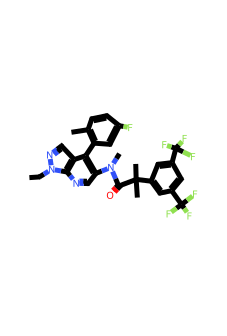 CCn1ncc2c(-c3cc(F)ccc3C)c(N(C)C(=O)C(C)(C)c3cc(C(F)(F)F)cc(C(F)(F)F)c3)cnc21